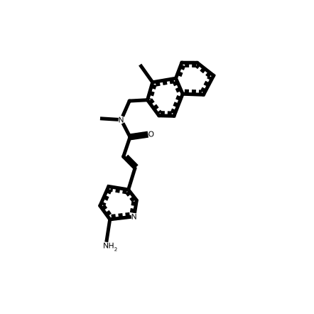 Cc1c(CN(C)C(=O)C=Cc2ccc(N)nc2)ccc2ccccc12